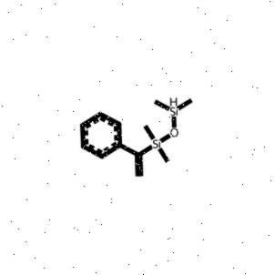 C=C(c1ccccc1)[Si](C)(C)O[SiH](C)C